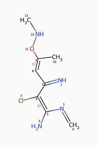 C=N/C(N)=C(/Cl)C(=N)/C=C(\C)ONC